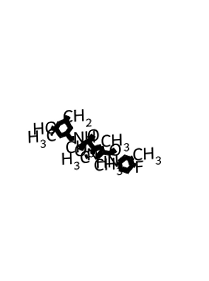 C=C1CC([C@H](C)NC(=O)C(=O)c2c(C)c(C(=O)Nc3ccc(F)c(C)c3)c(C)n2C)C[C@](C)(O)C1